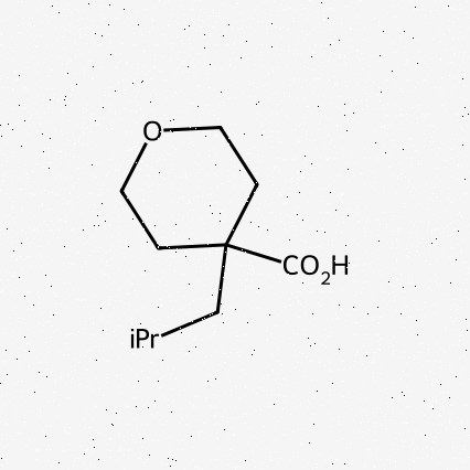 CC(C)CC1(C(=O)O)CCOCC1